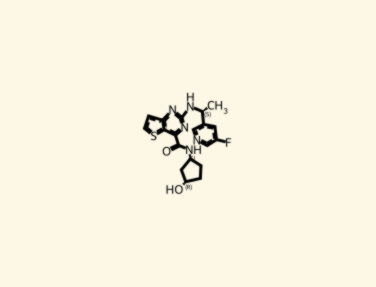 C[C@H](Nc1nc(C(=O)N[C@H]2CC[C@@H](O)C2)c2sccc2n1)c1cncc(F)c1